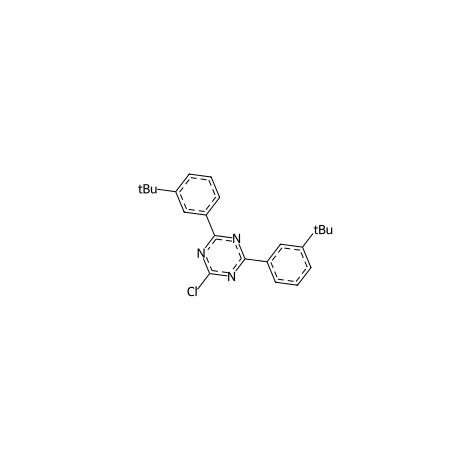 CC(C)(C)c1cccc(-c2nc(Cl)nc(-c3cccc(C(C)(C)C)c3)n2)c1